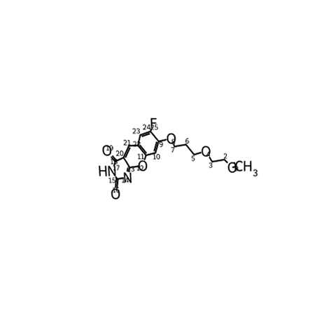 COCCOCCCOc1cc2oc3nc(=O)[nH]c(=O)c-3cc2cc1F